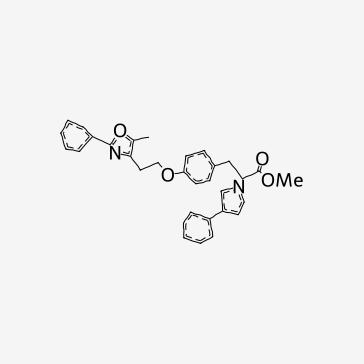 COC(=O)C(Cc1ccc(OCCc2nc(-c3ccccc3)oc2C)cc1)n1ccc(-c2ccccc2)c1